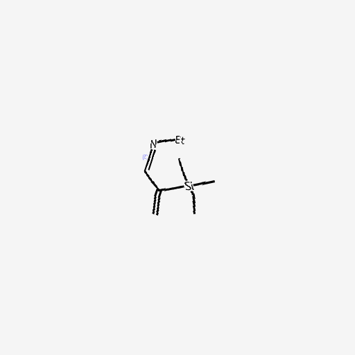 C=C(/C=N\CC)[Si](C)(C)C